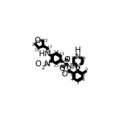 Cc1cccc(C(=O)NS(=O)(=O)c2ccc(NCC3CCOC3)c([N+](=O)[O-])c2)c1N1CCNCC1